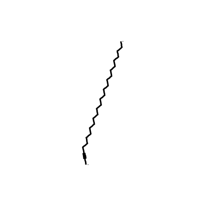 [CH2]C#CCCCCCCCCCCCCCCCCCCCCCC[CH2]